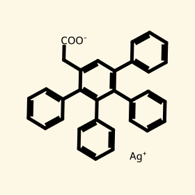 O=C([O-])Cc1cc(-c2ccccc2)c(-c2ccccc2)c(-c2ccccc2)c1-c1ccccc1.[Ag+]